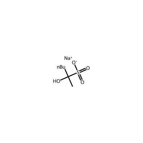 CCCCC(C)(O)S(=O)(=O)[O-].[Na+]